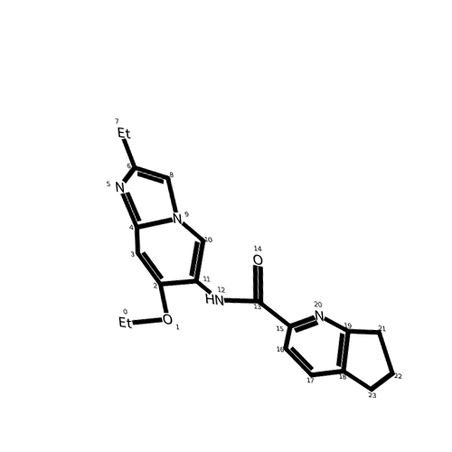 CCOc1cc2nc(CC)cn2cc1NC(=O)c1ccc2c(n1)CCC2